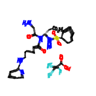 NCC(=O)N(C(=O)CCCCNc1ccccn1)[C@H](CC(=O)O)NS(=O)(=O)c1ccccc1.O=C(O)C(F)(F)F